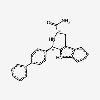 NC(=O)[C@@H]1Cc2c([nH]c3ccccc23)[C@@H](c2ccc(-c3ccccc3)cc2)N1